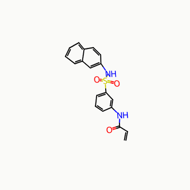 C=CC(=O)Nc1cccc(S(=O)(=O)Nc2ccc3ccccc3c2)c1